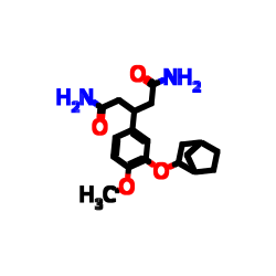 COc1ccc(C(CC(N)=O)CC(N)=O)cc1OC1CC2CCC1C2